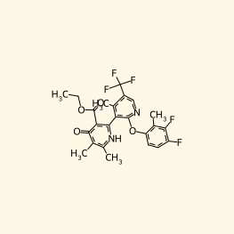 CCOC(=O)c1c(-c2c(Oc3ccc(F)c(F)c3C)ncc(C(F)(F)F)c2C)[nH]c(C)c(C)c1=O